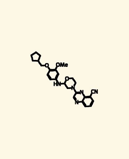 COc1cc(NC2CN(c3cnc4cccc(C#N)c4n3)CCO2)ccc1OCC1CCCC1